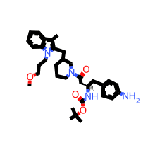 COCCCn1c(CC2CCCN(C(=O)C[C@@H](Cc3ccc(N)cc3)NC(=O)OC(C)(C)C)C2)c(C)c2ccccc21